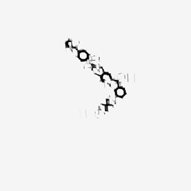 CN1CC2(C1)CN(c1cccc([C@@H](O)c3cc4c(cn3)CN(S(=O)(=O)c3ccc(-c5ncco5)cc3)C4)c1)C2